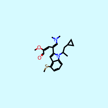 CO/C(C=O)=C/C(=C\N(C)C)c1cc2c(SC)cccc2n1C(C)CC1CC1